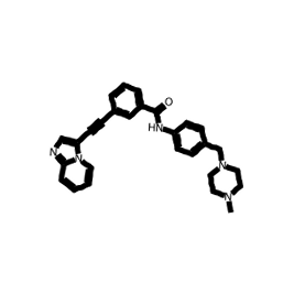 CN1CCN(Cc2ccc(NC(=O)c3cccc(C#Cc4cnc5ccccn45)c3)cc2)CC1